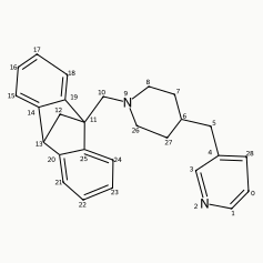 c1cncc(CC2CCN(CC34CC(c5ccccc53)c3ccccc34)CC2)c1